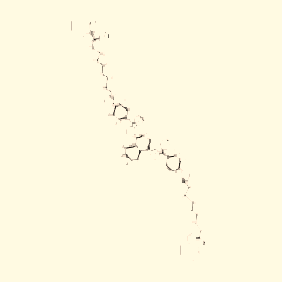 C=CC(=O)CCCCCCCCOc1ccc(C(=O)Oc2ccc(OC(=O)c3ccc(OCCCCCCCCC(=O)C=C)cc3)c3ccccc23)cc1